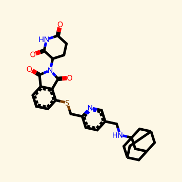 O=C1CCC(N2C(=O)c3cccc(SCc4ccc(CNC56CC7CC(CC(C7)C5)C6)cn4)c3C2=O)C(=O)N1